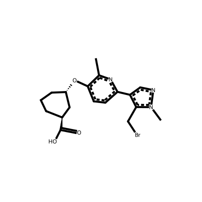 Cc1nc(-c2cnn(C)c2CBr)ccc1O[C@H]1CCC[C@H](C(=O)O)C1